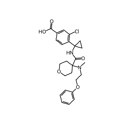 CN(CCOc1ccccc1)C1(C(=O)NC2(c3ccc(C(=O)O)cc3Cl)CC2)CCOCC1